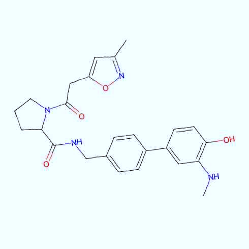 CNc1cc(-c2ccc(CNC(=O)C3CCCN3C(=O)Cc3cc(C)no3)cc2)ccc1O